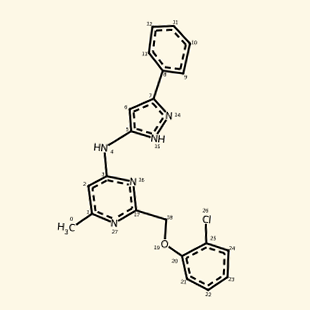 Cc1cc(Nc2cc(-c3ccccc3)n[nH]2)nc(COc2ccccc2Cl)n1